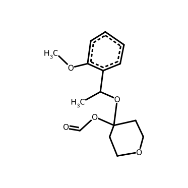 COc1ccccc1C(C)OC1(OC=O)CCOCC1